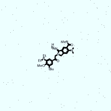 Br.CCN(CC)c1cc(C(=O)CN2Cc3cc(N(C)C)c(C(=O)NC)cc3C2=N)cc(C(C)(C)C)c1OC